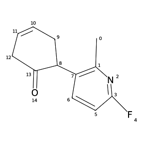 Cc1nc(F)ccc1C1CC=CCC1=O